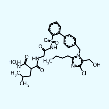 CCCCc1nc(Cl)c(CO)n1Cc1ccc(-c2ccccc2S(=O)(=O)NC(=O)CNC(=O)C(CC(C)C)C(=O)NO)cc1